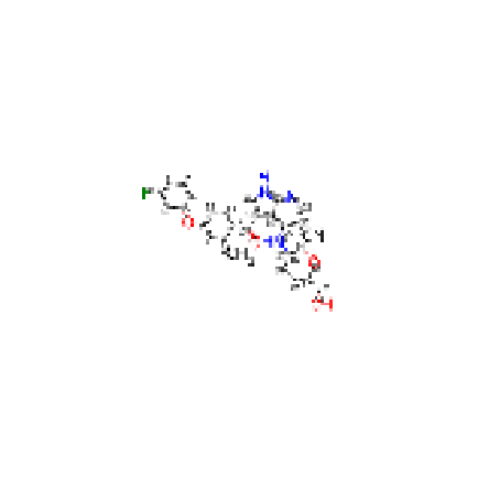 Cc1cc(Oc2cccc(F)c2)ccc1C(=O)c1c[nH]c2ncc(C#N)c(N[C@@H]3CC[C@@H](CO)OC3)c12